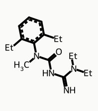 CCc1cccc(CC)c1N(C)C(=O)NC(=N)N(CC)CC